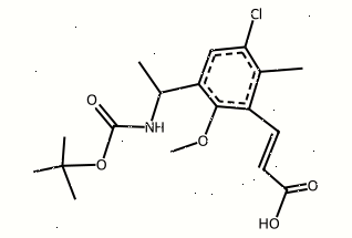 COc1c(C(C)NC(=O)OC(C)(C)C)cc(Cl)c(C)c1C=CC(=O)O